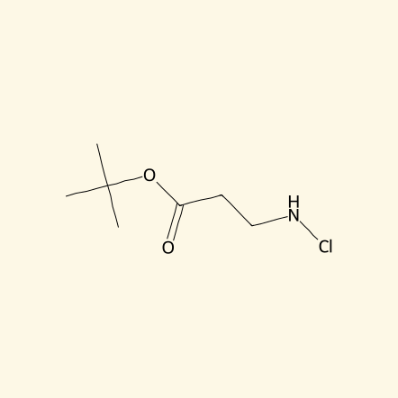 CC(C)(C)OC(=O)CCNCl